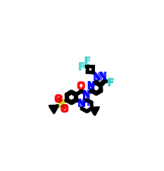 O=C(Nc1ccc2c(F)nn(C3CC(F)(F)C3)c2n1)c1ccc(S(=O)(=O)C2CC2)cc1N1CCC2(CC1)CC2